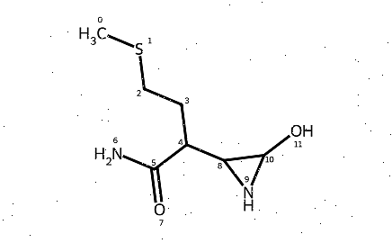 CSCCC(C(N)=O)C1NC1O